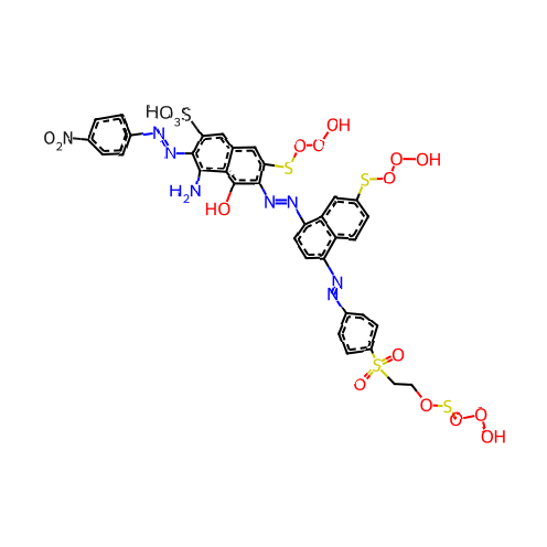 Nc1c(/N=N/c2ccc([N+](=O)[O-])cc2)c(S(=O)(=O)O)cc2cc(SOOO)c(/N=N/c3ccc(/N=N/c4ccc(S(=O)(=O)CCOSOOO)cc4)c4ccc(SOOO)cc34)c(O)c12